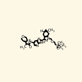 C=C(C(=O)N(C)c1cnc2[nH]c(-c3nn(COCC[Si](C)(C)C)c4c3C[C@@H]3C[C@]3(C)C4)nc2c1)C1CCOCC1